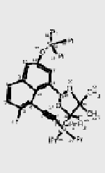 CC(C)[Si](C#Cc1c(F)ccc2cc(O[Si](C(C)C)(C(C)C)C(C)C)cc(B3OC(C)(C)C(C)(C)O3)c12)(C(C)C)C(C)C